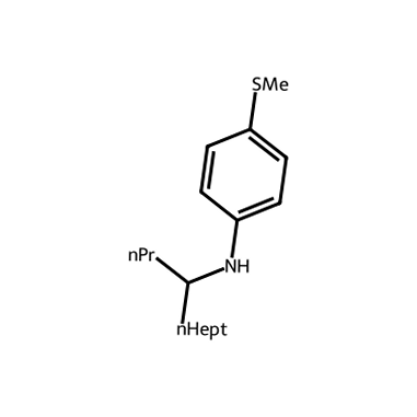 CCCCCCCC(CCC)Nc1ccc(SC)cc1